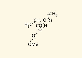 C=C(C)C(=O)O.C=CC(=O)OCCOCCOCCOC